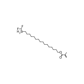 C=C(C)C(=O)OCCCCCCCCCCCCCCCC[SiH2]C(F)F